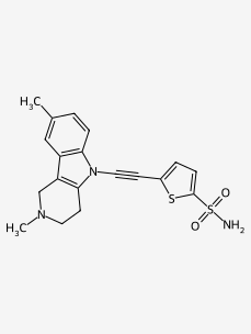 Cc1ccc2c(c1)c1c(n2C#Cc2ccc(S(N)(=O)=O)s2)CCN(C)C1